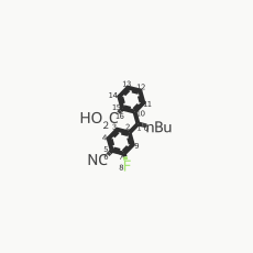 CCCCC(c1ccc(C#N)c(F)c1)c1ccccc1C(=O)O